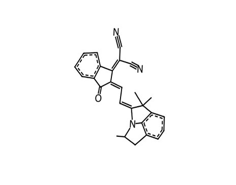 CC1Cc2cccc3c2N1/C(=C/C=C1\C(=O)c2ccccc2C1=C(C#N)C#N)C3(C)C